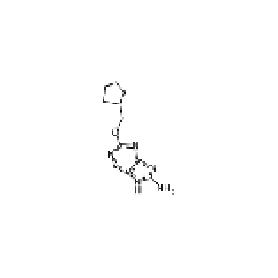 Nc1nc2nc(OCC3CCCC3)ncc2[nH]1